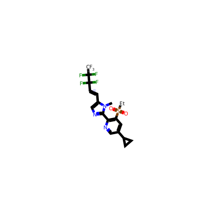 CCS(=O)(=O)c1cc(C2CC2)cnc1-c1ncc(/C=C/C(F)(F)C(F)(F)C(F)(F)F)n1C